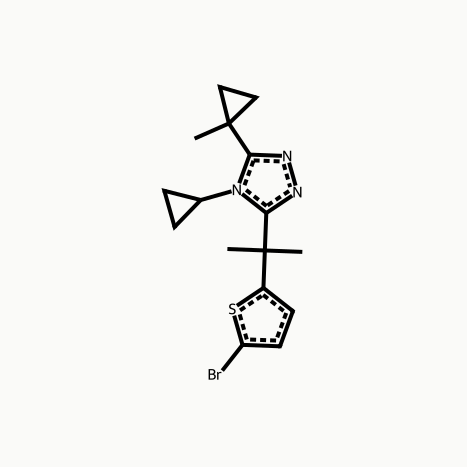 CC1(c2nnc(C(C)(C)c3ccc(Br)s3)n2C2CC2)CC1